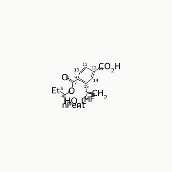 C=CC(=O)O.CCCCCC(CC)OC(=O)c1ccc(C(=O)O)cc1.F